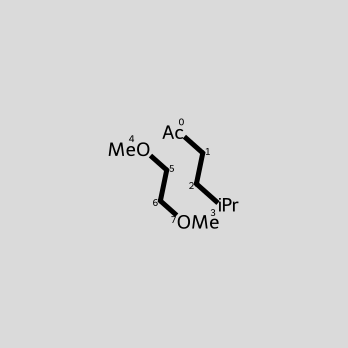 CC(=O)CCC(C)C.COCCOC